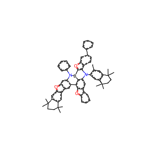 Cc1cc2c(cc1N1c3cc4c(oc5ccccc54)c4c3B(c3oc5cc(-c6ccccc6)ccc5c31)N(c1ccccc1)c1cc3oc5cc6c(cc5c3cc1-4)C(C)(C)CCC6(C)C)C(C)(C)CCC2(C)C